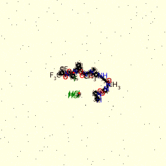 CN(CCN1CCC(OC(=O)Nc2ccccc2-c2ccccc2)CC1)C(=O)CCCCCNc1ccc(C(=O)N(CCCN(C)C(=O)CO[C@H]2Cc3ccccc3C23CCN(CC[C@@]2(c4ccc(F)cc4)CN(C(=O)c4cc(C(F)(F)F)cc(C(F)(F)F)c4)CO2)CC3)C2CC2)cc1.Cl.Cl.Cl